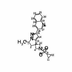 CC1CC2(CN(S(=O)(=O)C3CC3)C2)c2cc(-c3cnc4ccccc4c3)nn21